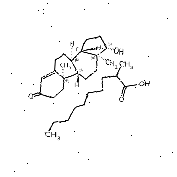 CCCCCCCCC(C)C(=O)O.C[C@]12CC[C@H]3[C@@H](CCC4=CC(=O)CC[C@@]43C)[C@@H]1CC[C@@H]2O